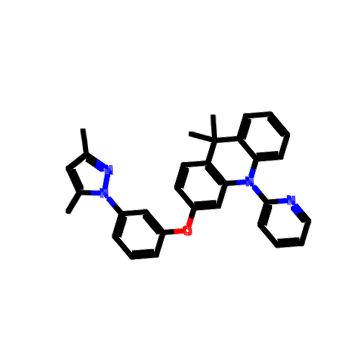 Cc1cc(C)n(-c2cccc(Oc3ccc4c(c3)N(c3ccccn3)c3ccccc3C4(C)C)c2)n1